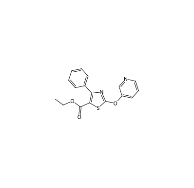 CCOC(=O)c1sc(Oc2cccnc2)nc1-c1ccccc1